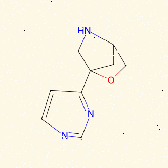 [c]1nccc(C23CNC(CO2)C3)n1